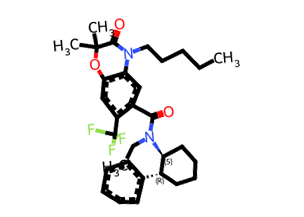 CCCCCN1C(=O)C(C)(C)Oc2cc(C(F)(F)F)c(C(=O)N(CC)[C@H]3CCCC[C@@H]3c3ccccc3)cc21